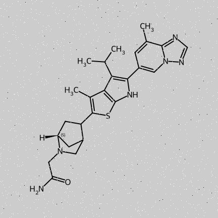 Cc1c(C2C[C@@H]3CC2CN3CC(N)=O)sc2[nH]c(-c3cc(C)c4ncnn4c3)c(C(C)C)c12